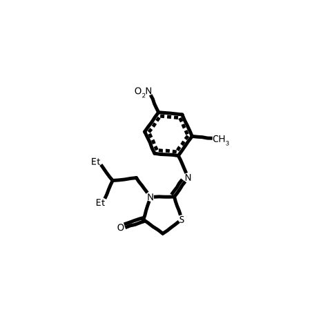 CCC(CC)CN1C(=O)CSC1=Nc1ccc([N+](=O)[O-])cc1C